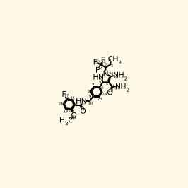 CCC(N1NC(c2ccc(CNC(=O)c3cc(F)ccc3OC)cc2)C(C(N)=O)=C1N)C(F)(F)F